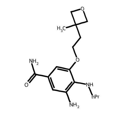 CCCNc1c(N)cc(C(N)=O)cc1OCCC1(C)COC1